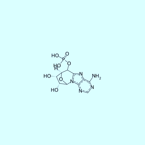 Nc1ncnc2c1nc1n2C2O[C@H](C1OP(=O)(O)O)[C@@H](O)[C@H]2O